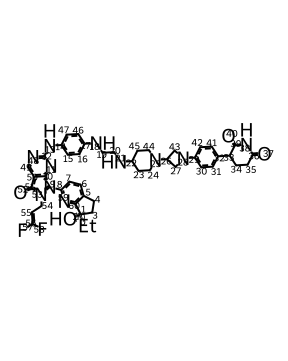 CC[C@@]1(O)CCc2ccc(-n3c4nc(Nc5ccc(NCCNC6CCN(C7CN(c8ccc(C9CCC(=O)NC9=O)cc8)C7)CC6)cc5)ncc4c(=O)n3CC=C(F)F)nc21